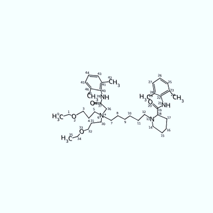 CCOCCC[N+](CCCCCCN1CCCCC1C(=O)Nc1c(C)cccc1C)(CCCOCC)CC(=O)Nc1c(C)cccc1C